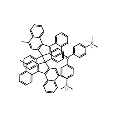 Cc1cc2c(c3ccccc13)-c1c(cc(C)c3ccccc13)C2(c1ccccc1)C1(c2ccccc2)c2cc(C)c3ccccc3c2-c2c1cc(N(c1ccc([SiH](C)C)cc1)c1ccc([SiH](C)C)cc1)c1ccccc21